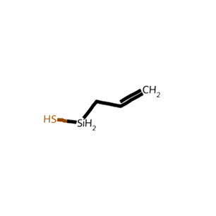 C=CC[SiH2]S